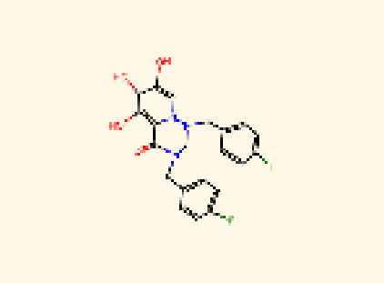 O=C1C2=C(O)C(O)C(O)=CN2N(Cc2ccc(F)cc2)CN1Cc1ccc(F)cc1